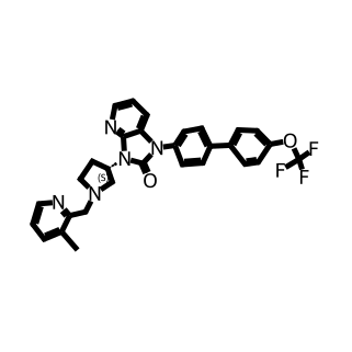 Cc1cccnc1CN1CC[C@H](n2c(=O)n(-c3ccc(-c4ccc(OC(F)(F)F)cc4)cc3)c3cccnc32)C1